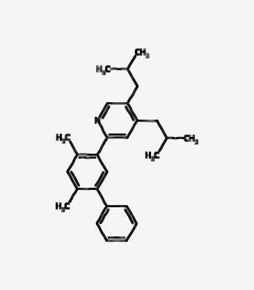 Cc1cc(C)c(-c2cc(CC(C)C)c(CC(C)C)cn2)cc1-c1ccccc1